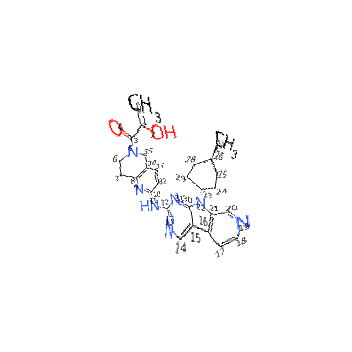 CC(O)C(=O)N1CCc2nc(Nc3ncc4c5ccncc5n([C@H]5CC[C@H](C)CC5)c4n3)ccc2C1